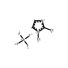 CCc1nccn1CC.F[B-](F)(F)F